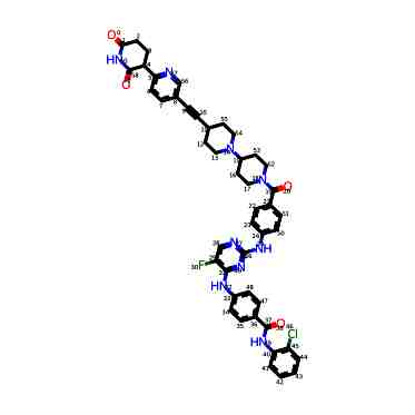 O=C1CCC(c2ccc(C#CC3CCN(C4CCN(C(=O)c5ccc(Nc6ncc(F)c(Nc7ccc(C(=O)Nc8ccccc8Cl)cc7)n6)cc5)CC4)CC3)cn2)C(=O)N1